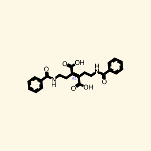 O=C(O)/C(CCNC(=O)c1ccccc1)=C(\CCNC(=O)c1ccccc1)C(=O)O